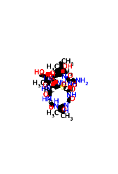 CCCC(C)(C)CC1C(=O)N[C@@H]([C@@H](C)[C@@H](O)CO)C(=O)N[C@@H]2Cc3c([nH]c4cc(O)ccc34)[S+]([O-])C[C@H](NC(=O)CNC(=O)[C@H]([C@@H](C)CC)NC(=O)CNC2=O)C(=O)N[C@@H](CC(N)=O)C(=O)N2C[C@H](O)C[C@@H]12